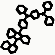 c1ccc(N(c2ccccc2)c2ccc(N(c3ccccc3)c3ccc(-c4c5ccccc5c(-c5cccc6c5CCCC6)c5ccccc45)cc3)cc2)cc1